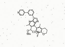 Cc1nc2c(-c3cccc(-c4ccncc4)c3)cnn2c(-c2cc(F)c3c(c2C)CCCO3)c1C(OC(C)(C)C)C(=O)O